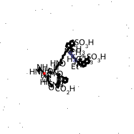 CC[N+]1=C(/C=C/C=C/C=C2/N(CCCCCC(=O)NCCCC[C@@H]3NC(=O)[C@@H](Cc4ccccc4)NC(=O)[C@H](CC(=O)O)NC(=O)CNC(=O)[C@H](CCCNC(=N)N)NC3=O)c3ccc4ccc(S(=O)(=O)O)cc4c3C2(C)C)C(C)(C)c2c1ccc1ccc(S(=O)(=O)O)cc21